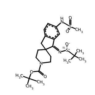 CC(C)(C)OC(=O)N1CCC2(CC1)Cc1ccc(NS(C)(=O)=O)cc1C2=N[S@+]([O-])C(C)(C)C